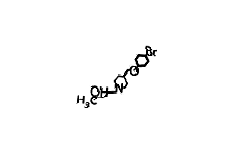 CC(O)CCCN1CCC(COc2ccc(Br)cc2)CC1